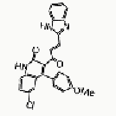 COc1ccc(-c2c(C(=O)C=Cc3nc4ccccc4[nH]3)c(=O)[nH]c3ccc(Cl)cc23)cc1